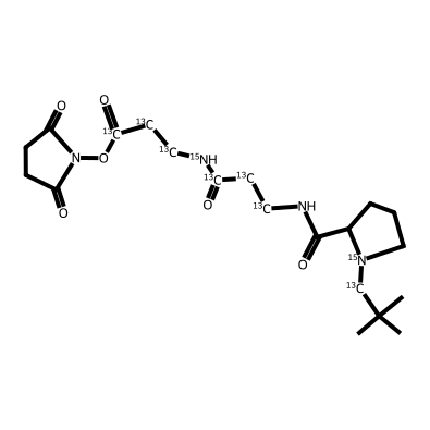 CC(C)(C)[13CH2][15N]1CCCC1C(=O)N[13CH2][13CH2][13C](=O)[15NH][13CH2][13CH2][13C](=O)ON1C(=O)CCC1=O